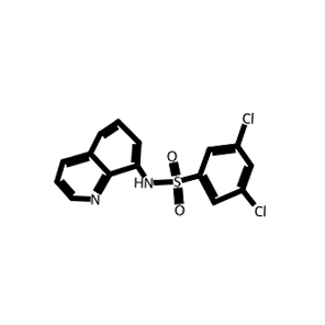 O=S(=O)(Nc1cccc2cccnc12)c1cc(Cl)cc(Cl)c1